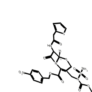 CC(C)(C)OC(=O)N(CC1=C(C(=O)OCc2ccc([N+](=O)[O-])cc2)N2C(=O)C(NC(=O)Cc3cccs3)[C@@H]2SC1)S(N)(=O)=O